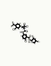 O=C(Nc1ncc(F)cc1F)c1cc(NC(=O)[C@H]2[C@H](c3ccc(C(F)F)c(Cl)c3)C2(Cl)Cl)ccc1Cl